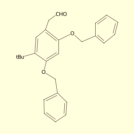 CC(C)(C)c1cc(CC=O)c(OCc2ccccc2)cc1OCc1ccccc1